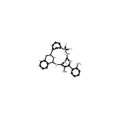 Cc1ccccc1-c1nc2nc(c1C(C)(C)C)OC1CC(Cc3ccccc31)c1cccc(c1)S(=O)(=O)N2